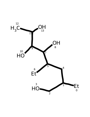 CCC(CO)CC(CC)C(O)C(O)C(C)O